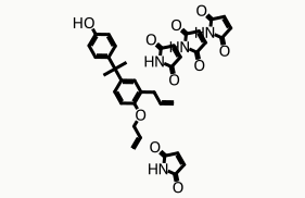 C=CCOc1ccc(C(C)(C)c2ccc(O)cc2)cc1CC=C.O=C1C=CC(=O)N1.O=C1C=CC(=O)N1.O=C1C=CC(=O)N1.O=C1C=CC(=O)N1